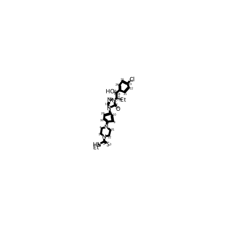 CCNC(=S)N1CCN(c2ccc(-n3cnn([C@H](CC)[C@H](O)c4ccc(Cl)cc4)c3=O)cc2)CC1